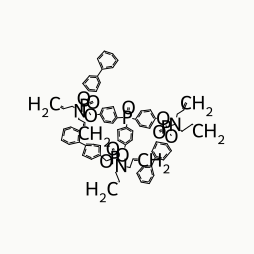 C=CCN(CC=C)P(=O)(Oc1ccc(-c2ccccc2)cc1)Oc1ccc(P(=O)(c2ccc(OP(=O)(Oc3ccc(-c4ccccc4)cc3)N(CC=C)CC=C)cc2)c2ccc(OP(=O)(Oc3ccc(-c4ccccc4)cc3)N(CC=C)CC=C)cc2)cc1